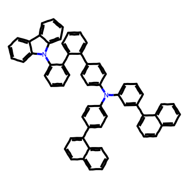 c1cc(-c2cccc3ccccc23)cc(N(c2ccc(-c3ccccc3-c3ccccc3-n3c4ccccc4c4ccccc43)cc2)c2ccc(-c3cccc4ccccc34)cc2)c1